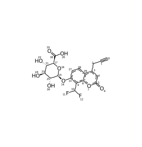 C#CCc1cc(=O)oc2c(C(F)F)c(O[C@@H]3O[C@H](C(=O)O)[C@@H](O)[C@H](O)[C@H]3O)ccc12